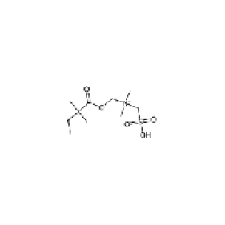 CCC(C)(C)C(=O)OC[N+](C)(C)CS(=O)(=O)O